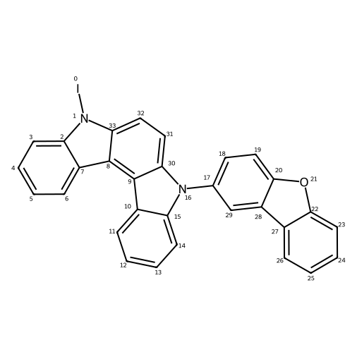 In1c2ccccc2c2c3c4ccccc4n(-c4ccc5oc6ccccc6c5c4)c3ccc21